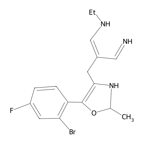 CCN/C=C(\C=N)CC1=C(c2ccc(F)cc2Br)OC(C)N1